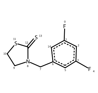 Fc1cc(F)cc(CN2CCSC2=S)c1